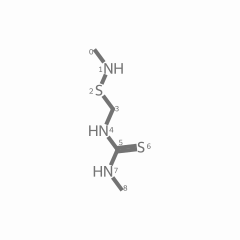 CNSCNC(=S)NC